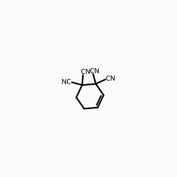 N#CC1(C#N)C=CCCC1(C#N)C#N